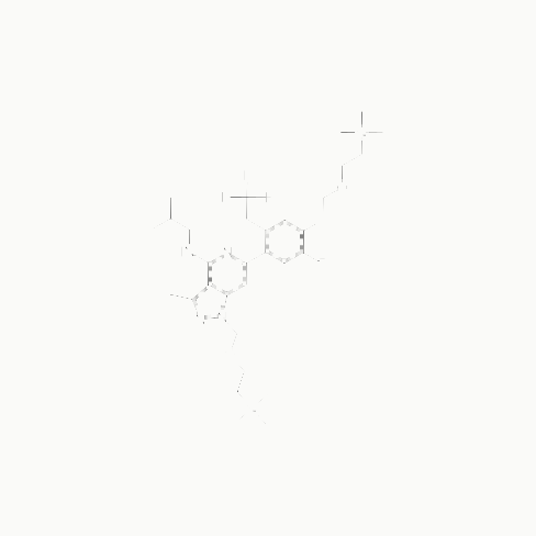 CC(C)CNc1nc(-c2cc(F)c(OCOCC[Si](C)(C)C)cc2CC(F)(F)F)cc2c1c(I)nn2COCC[Si](C)(C)C